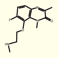 CNCCOc1c(F)ccc2nc(C)c(=O)n(C)c12